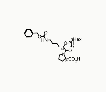 CCCCCC[PH](=O)O[C@@H](CCCCNC(=O)OCc1ccccc1)C(=O)N1CCC[C@H]1C(=O)O